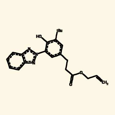 C=CCOC(=O)CCc1cc(-n2nc3ccccc3n2)c(O)c(C(C)(C)C)c1